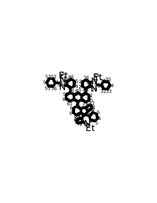 CCN1c2ccccc2C2(c3ccccc3-c3c(-c4c5cccc(-c6cccc7c6nc(-c6ccccc6)n7CC)c5cc5c(-c6cccc7c6nc(-c6ccccc6)n7CC)cccc45)cccc32)c2ccccc21